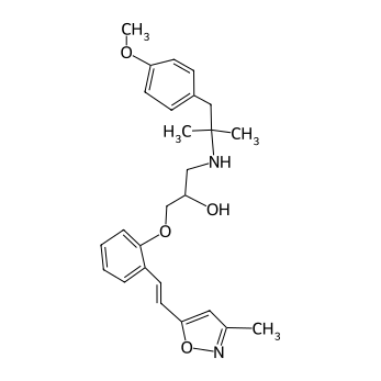 COc1ccc(CC(C)(C)NCC(O)COc2ccccc2C=Cc2cc(C)no2)cc1